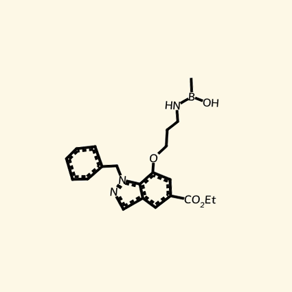 CCOC(=O)c1cc(OCCCNB(C)O)c2c(cnn2Cc2ccccc2)c1